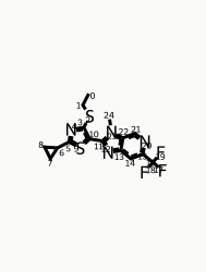 CCSc1nc(C2CC2)sc1-c1nc2cc(C(F)(F)F)ncc2n1C